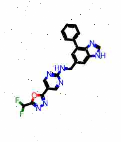 FC(F)c1nnc(-c2cnc(NCc3cc(-c4ccccc4)c4nc[nH]c4c3)nc2)o1